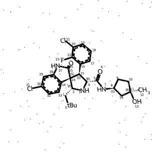 CC(C)(C)C[C@H]1N[C@@H](C(=O)N[C@H]2CC[C@@](C)(O)C2)[C@H](c2cccc(Cl)c2F)[C@@]12C(=O)Nc1cc(Cl)ccc12